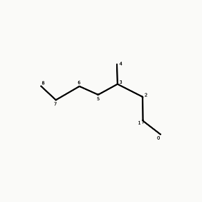 C[CH]CC(C)CCCC